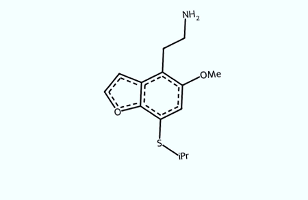 COc1cc(SC(C)C)c2occc2c1CCN